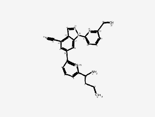 CCCC(N)c1cccc(-c2cc(C#N)c3cnn(-c4cccc(CO)n4)c3c2)n1